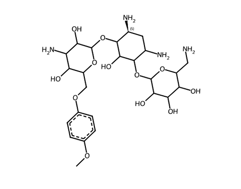 COc1ccc(OCC2OC(OC3C(O)C(OC4OC(CN)C(O)C(O)C4O)C(N)C[C@@H]3N)C(O)C(N)C2O)cc1